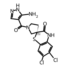 Nc1[nH]ncc1C(=O)N1CC[C@@]2(C1)Sc1cc(Cl)c(Cl)cc1NC2=O